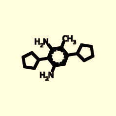 Cc1c(C2CCCC2)cc(N)c(C2CCCC2)c1N